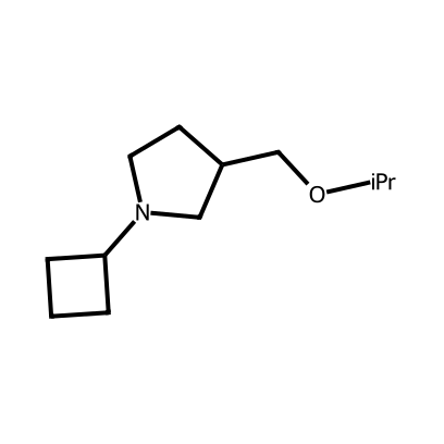 CC(C)OCC1CCN(C2CCC2)C1